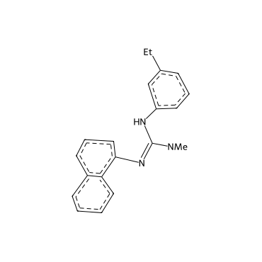 CCc1cccc(NC(=Nc2cccc3ccccc23)NC)c1